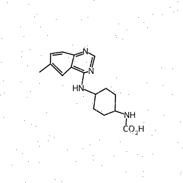 Cc1ccc2ncnc(NC3CCC(NC(=O)O)CC3)c2c1